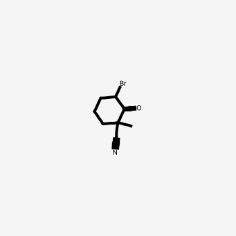 CC1(C#N)CCCC(Br)C1=O